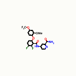 COc1cc(OC(F)(F)F)ccc1Oc1ccc(F)c(F)c1C(=O)Nc1ccnc(C(N)=O)c1